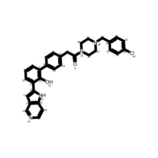 O=C(Cc1ccc(-c2cccc(-c3cc4cnccc4[nH]3)c2O)cc1)N1CCN(Cc2ccc(Cl)cc2)CC1